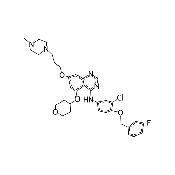 CN1CCN(CCCOc2cc(OC3CCOCC3)c3c(Nc4ccc(OCc5cccc(F)c5)c(Cl)c4)ncnc3c2)CC1